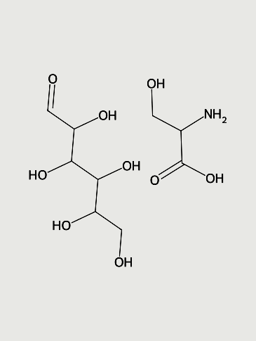 NC(CO)C(=O)O.O=CC(O)C(O)C(O)C(O)CO